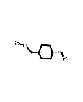 CCOC[C@H]1CC[C@H](CC(C)C)CC1